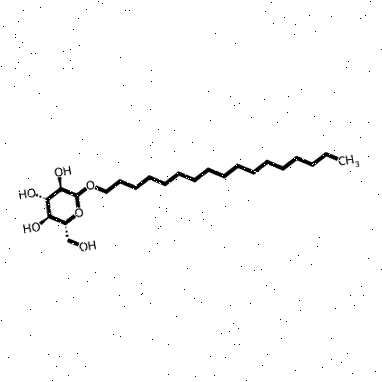 CCCCCCCCCCCCCCCCCOC1O[C@H](CO)[C@@H](O)[C@H](O)[C@H]1O